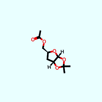 CC(=O)OC[C@@H]1C[C@H]2OC(C)(C)O[C@H]2O1